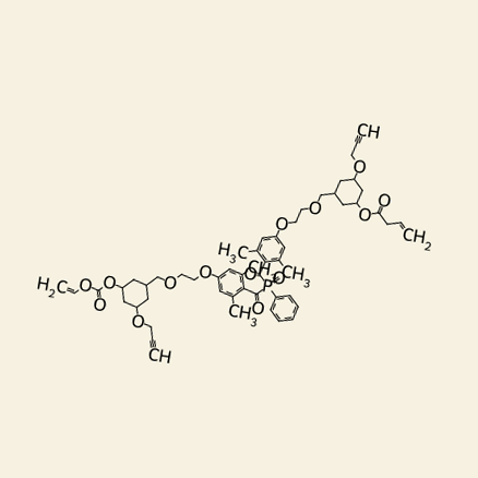 C#CCOC1CC(COCCOc2cc(C)c(C(=O)P(=O)(C(=O)c3c(C)cc(OCCOCC4CC(OCC#C)CC(OC(=O)OC=C)C4)cc3C)c3ccccc3)c(C)c2)CC(OC(=O)CC=C)C1